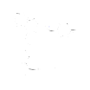 Cl.Cl.N=C(N)NCCCNc1nc(/C=C/c2ccc(Cl)cc2)nc2ccccc12